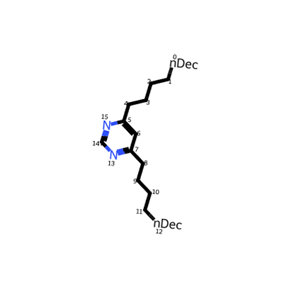 CCCCCCCCCCCCCCc1cc(CCCCCCCCCCCCCC)n[c]n1